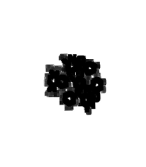 Cc1cc2c3c(n1)Oc1ccccc1B3c1cc3c(cc1N2c1ccccc1)N(c1ccc2c(c1)C(C)(C)CCC2(C)C)c1cc(C)nc2c1B3c1ccccc1O2